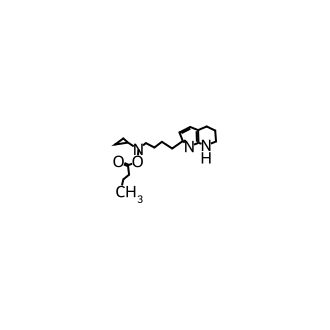 CCCC(=O)ON(CCCCc1ccc2c(n1)NCCC2)C1CC1